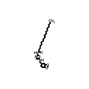 CCCCCCCCC=CCCCCCCCC(=O)Nc1nnc(NCc2ccc3c(c2)OCO3)s1